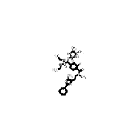 CCNP(=O)(NCC)C(OP1(=O)N[C@@H](C)[C@H](C)N1)c1ccc(C(=O)N(C)CCc2nc(-c3ccccc3)oc2C)c(F)c1